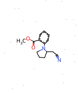 COC(=O)c1ccccc1N1CCCC1CC#N